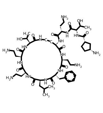 CC(C)C[C@@H]1NC(=O)[C@@H](Cc2ccccc2)NC(=O)[C@H](CCN)NC(=O)[C@@H](NC(=O)[C@H](CCN)NC(=O)[C@@H](NC(=O)[C@H]2CC[C@@H](N)C2)C(C)O)CCNC(=O)[C@H](C(C)O)NC(=O)[C@H](CCN)NC(=O)[C@H](CCN)NC1=O